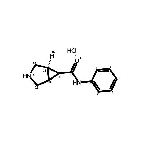 Cl.O=C(Nc1ccccc1)C1C2CNC[C@H]21